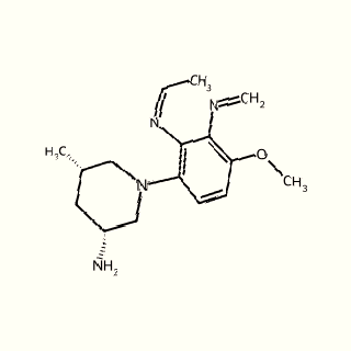 C=Nc1c(OC)ccc(N2C[C@@H](C)C[C@@H](N)C2)c1/N=C\C